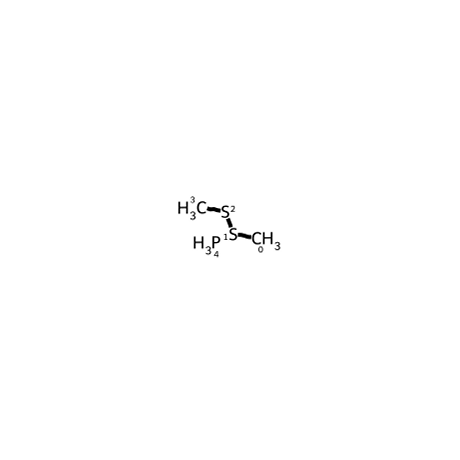 CSSC.P